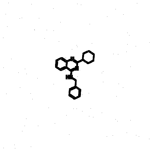 c1ccc(CNc2nc(C3CCCCC3)nc3ccccc23)cc1